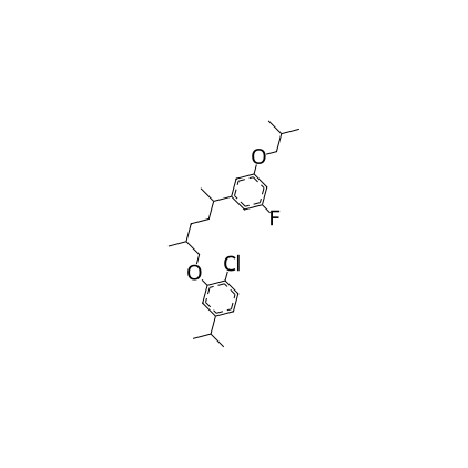 CC(C)COc1cc(F)cc(C(C)CCC(C)COc2cc(C(C)C)ccc2Cl)c1